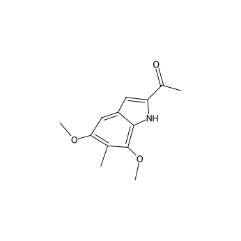 COc1cc2cc(C(C)=O)[nH]c2c(OC)c1C